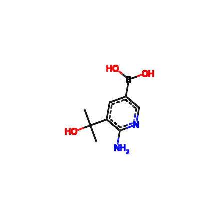 CC(C)(O)c1cc(B(O)O)cnc1N